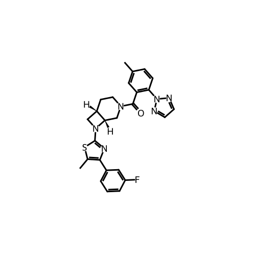 Cc1ccc(-n2nccn2)c(C(=O)N2CC[C@H]3CN(c4nc(-c5cccc(F)c5)c(C)s4)[C@H]3C2)c1